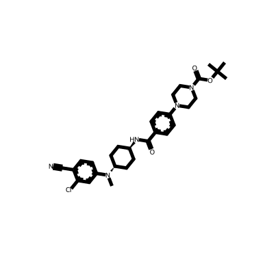 CN(c1ccc(C#N)c(Cl)c1)[C@H]1CC[C@H](NC(=O)c2ccc(N3CCN(C(=O)OC(C)(C)C)CC3)cc2)CC1